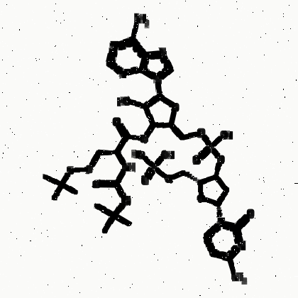 CC(C)(C)OC(=O)N[C@@H](CSSC(C)(C)C)C(=O)OC1C(COP(=O)(O)O[C@H]2C[C@H](n3ccc(N)nc3=O)O[C@@H]2COP(=O)(O)O)OC(n2cnc3c(N)ncnc32)C1O